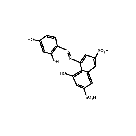 O=S(=O)(O)c1cc(O)c2c(/N=N/c3ccc(O)cc3O)cc(S(=O)(=O)O)cc2c1